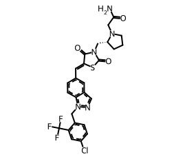 NC(=O)CN1CCC[C@@H]1CN1C(=O)SC(=Cc2ccc3c(cnn3Cc3ccc(Cl)cc3C(F)(F)F)c2)C1=O